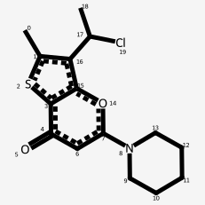 Cc1sc2c(=O)cc(N3CCCCC3)oc2c1C(C)Cl